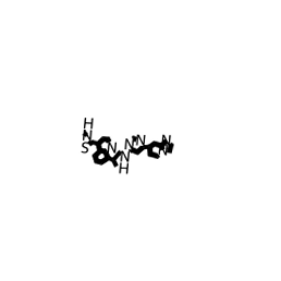 CNC(=S)c1ccnc2c(C(C)CNc3cc(-c4ccn5ccnc5c4)ncn3)cccc12